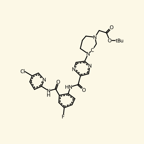 CC(C)(C)OC(=O)CN1CCCN(c2cnc(C(=O)Nc3ccc(F)cc3C(=O)Nc3ccc(Cl)cn3)cn2)CC1